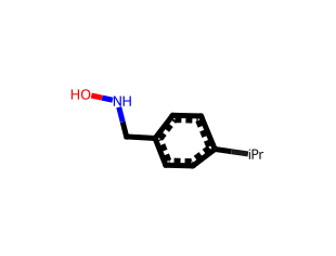 CC(C)c1ccc(CNO)cc1